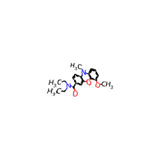 CCN(CC)C(=O)c1ccc2c(c1)Oc1c(OC)cccc1N2C